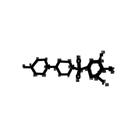 CC1CCN(C2CCN(S(=O)(=O)c3cc(F)c(Br)c(F)c3)CC2)CC1